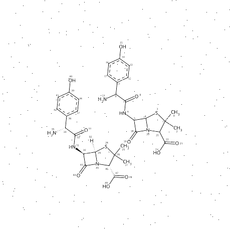 CC1(C)SC2C(NC(=O)C(N)c3ccc(O)cc3)C(=O)N2C1C(=O)O.CC1(C)S[C@@H]2[C@H](NC(=O)[C@H](N)c3ccc(O)cc3)C(=O)N2[C@H]1C(=O)O